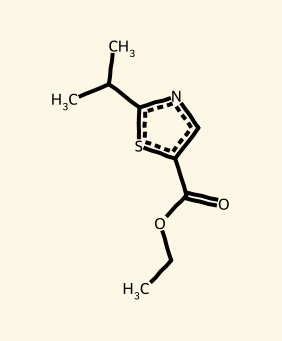 CCOC(=O)c1cnc(C(C)C)s1